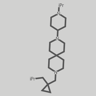 CC(C)CC1(CN2CCC3(CC2)CCN(C2CCN(C(C)C)CC2)CC3)CC1